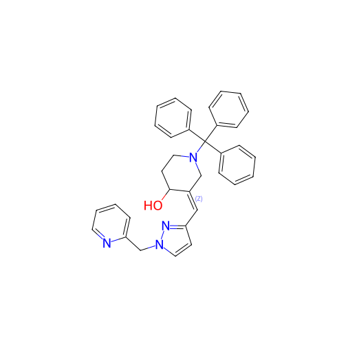 OC1CCN(C(c2ccccc2)(c2ccccc2)c2ccccc2)C/C1=C/c1ccn(Cc2ccccn2)n1